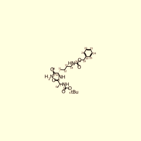 C[C@H](NC(=O)OC(C)(C)C)C(=O)N[C@@H](CCCCNC(=O)OCc1ccccc1)C(N)=O